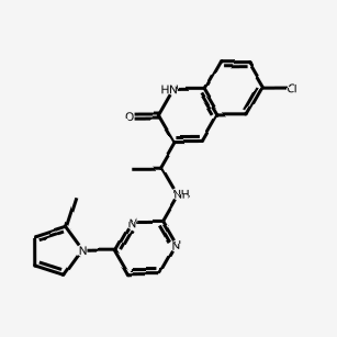 Cc1cccn1-c1ccnc(NC(C)c2cc3cc(Cl)ccc3[nH]c2=O)n1